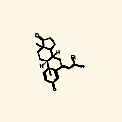 CCC(/C=C1\C[C@H]2C3CCC(=O)[C@@]3(C)CC[C@@H]2[C@@]2(C)C=CC(=O)C=C12)CC